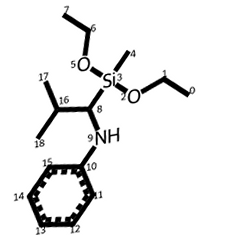 CCO[Si](C)(OCC)C(Nc1ccccc1)C(C)C